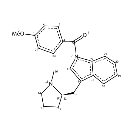 COc1ccc(C(=O)n2cc(C[C@H]3CCCN3C)c3ccccc32)cc1